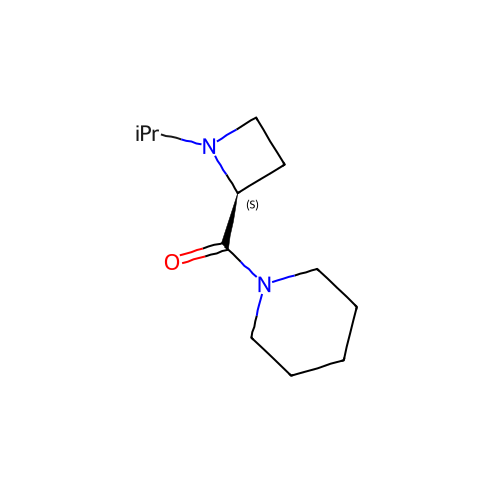 CC(C)N1CC[C@H]1C(=O)N1CCCCC1